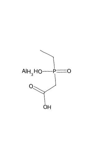 CCP(=O)(O)CC(=O)O.[AlH3]